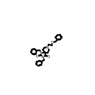 O=C1N(Cc2ccccc2)C(=O)C2(CCN(CCOCc3ccccc3)CC2)N1Cc1ccccc1